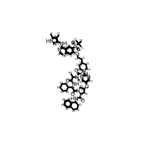 Cc1[nH]nc(Nc2ncnc3cc(OCCC4CCN(c5ncc(O[C@H]6C[C@@H](C(=O)N[C@@H]7CCCc8ccccc87)N(C(=O)[C@@H](NC(=O)C(C)N(C)C(=O)O)C7CCCCC7)C6)cn5)CC4)c(S(=O)(=O)C(C)(C)C)cc23)c1C